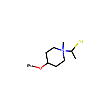 CC(C)OC1CC[N+](C)(C(C)S)CC1